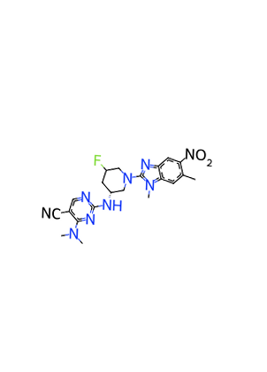 Cc1cc2c(cc1[N+](=O)[O-])nc(N1CC(F)C[C@@H](Nc3ncc(C#N)c(N(C)C)n3)C1)n2C